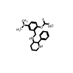 CN(C)c1ccc(OC(F)F)c(CNC2CCCNC2c2ccccc2)c1.Cl